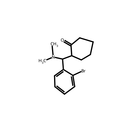 CN(C)C(c1ccccc1Br)C1CCCCC1=O